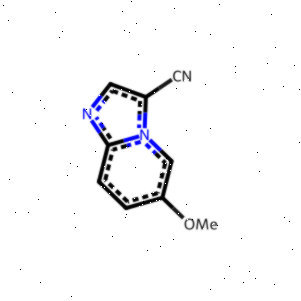 COc1ccc2ncc(C#N)n2c1